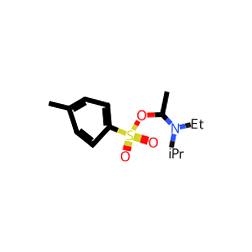 CCN(C(C)C)C(C)OS(=O)(=O)c1ccc(C)cc1